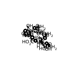 NS(=O)(=O)c1cccc(N(CCO)c2nc(Nc3ccc(-c4ccc(Nc5nc(N(CCO)c6cccc(S(N)(=O)=O)c6CCO)nc(N(CCO)c6cccc(S(N)(=O)=O)c6CCO)n5)cc4C(=O)O)c(C(=O)O)c3)nc(N(CCO)c3cccc(S(N)(=O)=O)c3CCO)n2)c1CCO